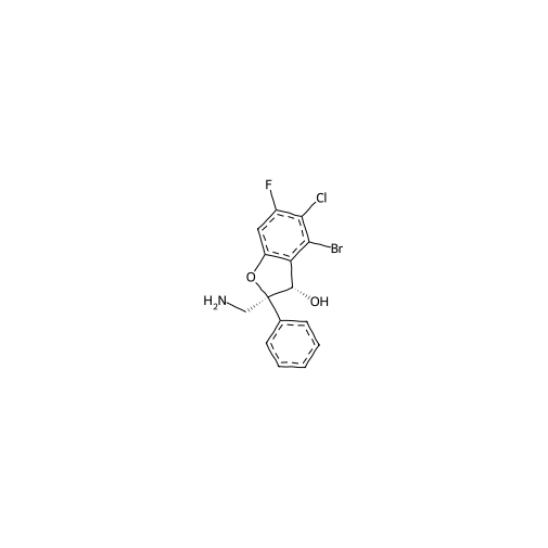 NC[C@]1(c2ccccc2)Oc2cc(F)c(Cl)c(Br)c2[C@@H]1O